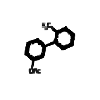 CC(=O)Oc1cccc(-c2ccc[c]c2C(F)(F)F)c1